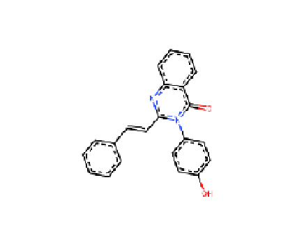 O=c1c2ccccc2nc(C=Cc2ccccc2)n1-c1ccc(O)cc1